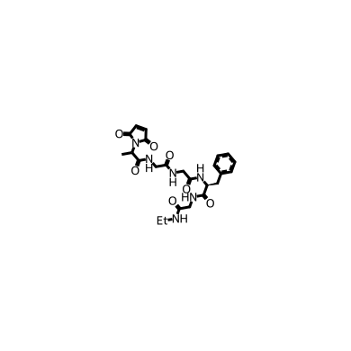 CCNC(=O)CNC(=O)[C@H](Cc1ccccc1)NC(=O)CNC(=O)CNC(=O)C(C)N1C(=O)C=CC1=O